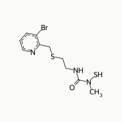 CN(S)C(=O)NCCSCc1ncccc1Br